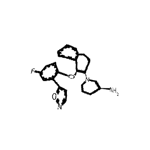 N[C@H]1CCCN([C@H]2CCc3ccccc3[C@@H]2Oc2ccc(F)cc2-c2ccno2)C1